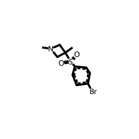 CN1CC(C)(S(=O)(=O)c2ccc(Br)cc2)C1